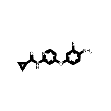 Nc1ccc(Oc2ccnc(NC(=O)C3CC3)c2)cc1F